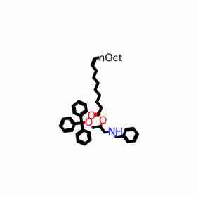 CCCCCCCC/C=C\CCCCCCCC(=O)OC(CNCc1ccccc1)COC(c1ccccc1)(c1ccccc1)c1ccccc1